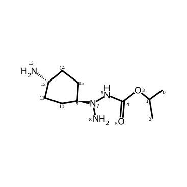 CC(C)OC(=O)NN(N)[C@H]1CC[C@H](N)CC1